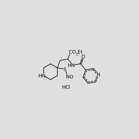 CCOC(=O)C(CC1(SN=O)CCNCC1)NC(=O)c1cccnc1.Cl